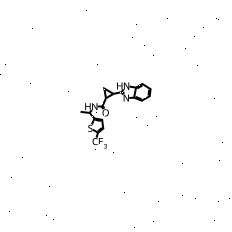 CC(NC(=O)C1CC1c1nc2ccccc2[nH]1)c1ccc(C(F)(F)F)s1